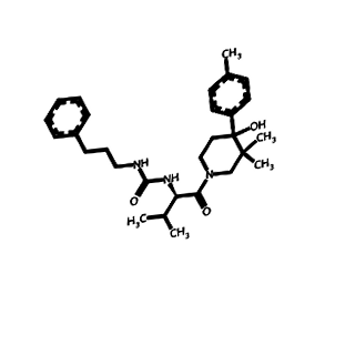 Cc1ccc(C2(O)CCN(C(=O)[C@H](NC(=O)NCCCc3ccccc3)C(C)C)CC2(C)C)cc1